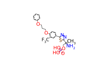 C[C@](N)(COP(=O)(O)O)c1nnc(-c2ccc(OCCCOc3ccccc3)c(C(F)(F)F)c2)s1